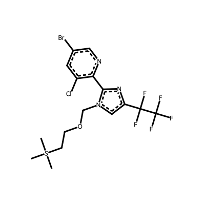 CS(C)(C)CCOCn1cc(C(F)(F)C(F)(F)F)nc1-c1ncc(Br)cc1Cl